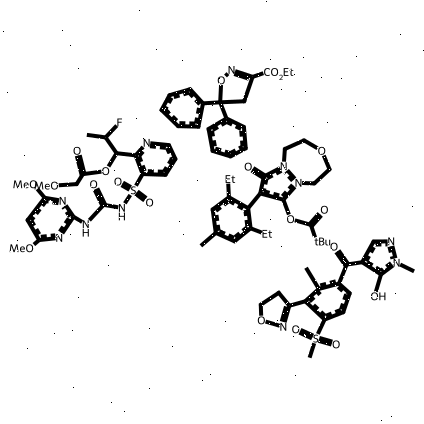 CCOC(=O)C1=NOC(c2ccccc2)(c2ccccc2)C1.CCc1cc(C)cc(CC)c1-c1c(OC(=O)C(C)(C)C)n2n(c1=O)CCOCC2.COCC(=O)OC(c1ncccc1S(=O)(=O)NC(=O)Nc1nc(OC)cc(OC)n1)C(C)F.Cc1c(C(=O)c2cnn(C)c2O)ccc(S(C)(=O)=O)c1C1=NOCC1